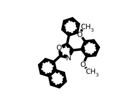 COc1cccc(OC)c1-c1nc(-c2cccc3ccccc23)oc1-c1ccccc1